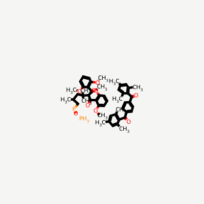 COc1cccc(OC)c1C(=O)C(C(=O)c1c(OC)cccc1OC)C(C)(C)CC(C)CP=O.Cc1cc(C)c(C(=O)c2ccc(C(=O)c3c(C)cc(C)cc3C)cc2)c(C)c1.P